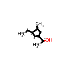 CCC1CC(C(C)O)CC1C